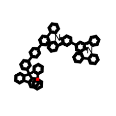 c1ccc(-c2ccccc2-n2c3ccccc3c3cc(-c4ccc5c(c4)c4ccccc4n5-c4ccccc4-c4ccc(-c5ccc(-c6cccc(C7(c8ccccc8-c8ccccc8)c8ccccc8-c8ccccc87)c6)cc5)cc4)ccc32)cc1